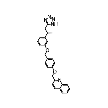 CC(Cc1nnn[nH]1)c1cccc(OCc2ccc(OCc3ccc4ccccc4n3)cc2)c1